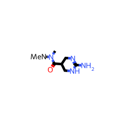 CNN(C)C(=O)C1CN=C(N)NC1